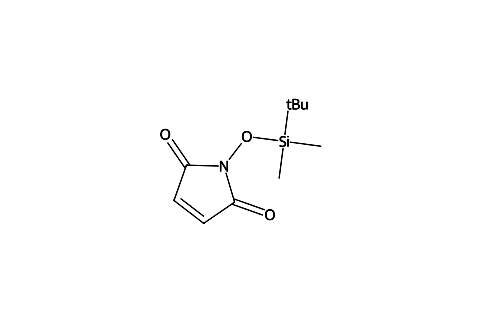 CC(C)(C)[Si](C)(C)ON1C(=O)C=CC1=O